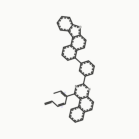 C=C/C=C\C(=C/C)c1nc(-c2cccc(-c3cccc4c3ccc3oc5ccccc5c34)c2)nc2ccc3ccccc3c12